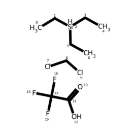 CC[SiH](CC)CC.ClCCl.O=C(O)C(F)(F)F